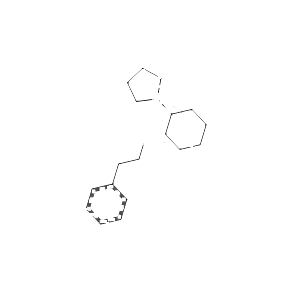 c1ccc(CCO[C@H]2CCCC[C@@H]2N2CCCC2)cc1